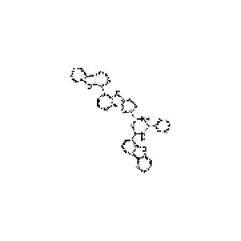 c1ccc(C2NC(c3ccc4oc5c(-c6cccc7c6oc6ccccc67)cccc5c4c3)=NC(c3cccc4c3oc3ccccc34)N2)cc1